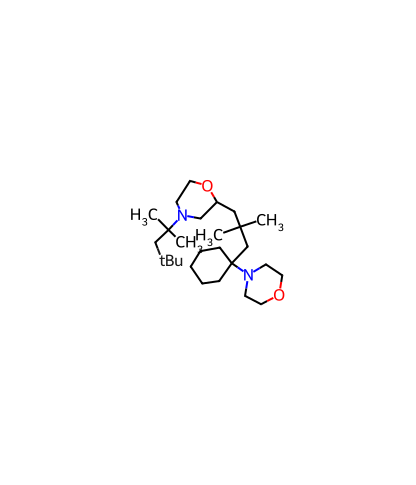 CC(C)(C)CC(C)(C)N1CCOC(CC(C)(C)CC2(N3CCOCC3)CCCCC2)C1